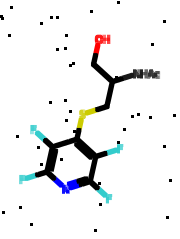 CC(=O)NC(CO)CSc1c(F)c(F)nc(F)c1F